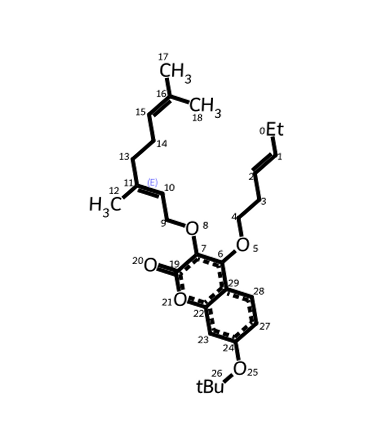 CCC=CCCOc1c(OC/C=C(\C)CCC=C(C)C)c(=O)oc2cc(OC(C)(C)C)ccc12